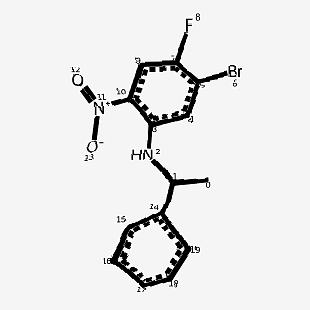 CC(Nc1cc(Br)c(F)cc1[N+](=O)[O-])c1ccccc1